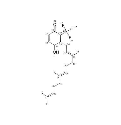 CC(C)=CCC/C(C)=C/CC/C(C)=C/C[C@@H]1C(O)C=CC(=O)C1C(F)(F)F